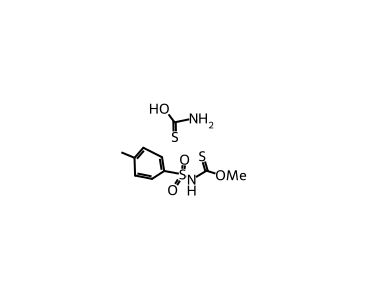 COC(=S)NS(=O)(=O)c1ccc(C)cc1.NC(O)=S